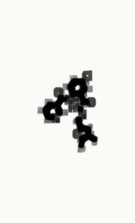 Cc1cc(/C=N/NC(=O)c2cc(Cl)ccc2NC(=O)c2cccnc2)oc1C